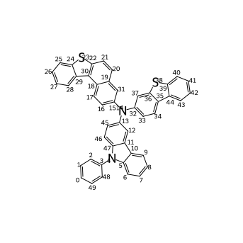 c1ccc(-n2c3ccccc3c3cc(N(c4ccc5c(ccc6sc7ccccc7c65)c4)c4ccc5c(c4)sc4ccccc45)ccc32)cc1